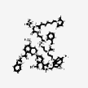 COCCN(CCOC12CC3(C)CC(C)(CC(Cn4ncc(-c5ccc(N6CCc7c(OC)ccc(C(=O)Nc8nc9ccccc9s8)c7C6)nc5C(=O)O)c4C)(C3)C1)C2)C(=O)OCc1cc[c]cc1OCCCNC(=O)[C@H](CS(=O)(=O)O)NC(=O)CCCCCN1C(=O)C=CC1=O